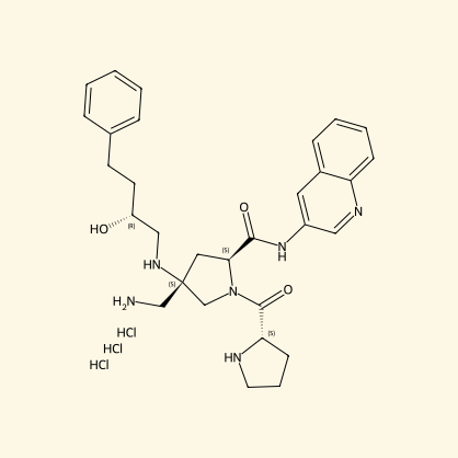 Cl.Cl.Cl.NC[C@@]1(NC[C@H](O)CCc2ccccc2)C[C@@H](C(=O)Nc2cnc3ccccc3c2)N(C(=O)[C@@H]2CCCN2)C1